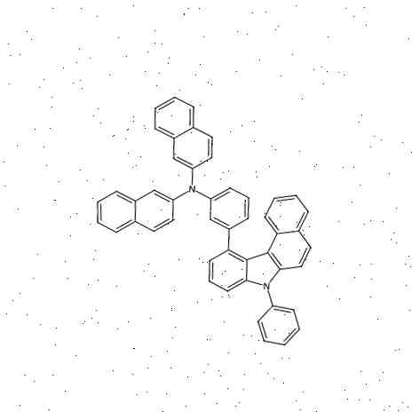 c1ccc(-n2c3cccc(-c4cccc(N(c5ccc6ccccc6c5)c5ccc6ccccc6c5)c4)c3c3c4ccccc4ccc32)cc1